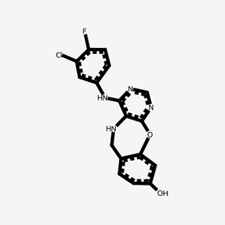 Oc1ccc2c(c1)Oc1ncnc(Nc3ccc(F)c(Cl)c3)c1NC2